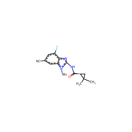 CC1(C)C[C@@H]1C(=O)Nc1nc2c(F)cc(C#N)cc2n1C(C)(C)C